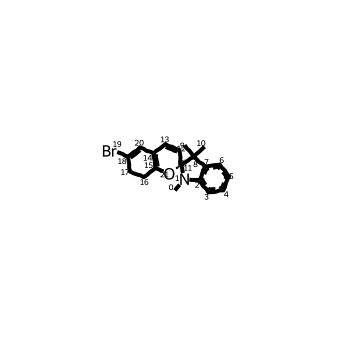 CN1c2ccccc2C(C)(C)[C@]12C=CC1=C(CCC(Br)=C1)O2